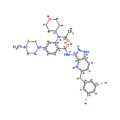 CN1CCN(c2ccc(C(=O)Nc3n[nH]c4ccc(Cc5cc(F)cc(F)c5)nc34)c(N(C(=O)C(F)(F)F)C3CCOCC3)c2)CC1